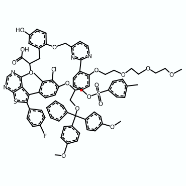 COCCOCCOCCOc1ccccc1-c1nccc(COc2ccc(O)cc2CC(Oc2ncnc3sc(-c4ccc(F)cc4)c(-c4ccc(OC(COC(c5ccccc5)(c5ccc(OC)cc5)c5ccc(OC)cc5)COS(=O)(=O)c5ccc(C)cc5)c(Cl)c4C)c23)C(=O)O)n1